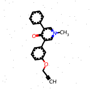 C#CCOc1cccc(-c2cn(C)cc(-c3ccccc3)c2=O)c1